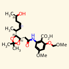 COCOc1cc(OC)cc(NC(=O)C[C@@H]2OC(C)(C)O[C@@H]2C(C)/C=C\C[C@@H](C)O)c1C(=O)O